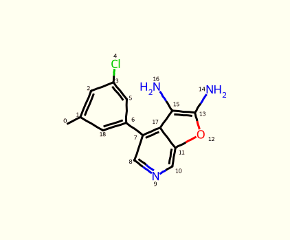 Cc1cc(Cl)cc(-c2cncc3oc(N)c(N)c23)c1